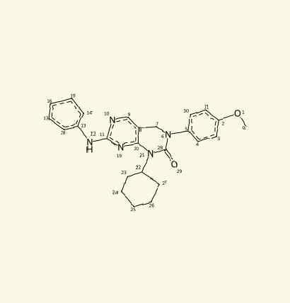 COc1ccc(N2Cc3cnc(Nc4ccccc4)nc3N(C3CCCCC3)C2=O)cc1